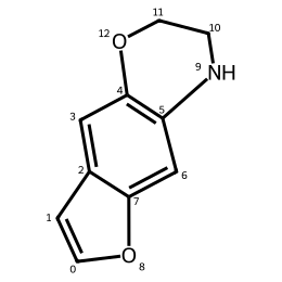 c1cc2cc3c(cc2o1)NCCO3